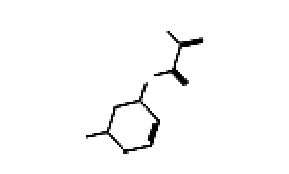 C=C(F)C(=O)OC1C=CCC(C)C1